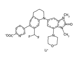 Cn1c(=O)n(C)c2c(N3CCOCC3)cc(N3CCCc4cc(-c5ccc(C(=O)[O-])nc5)c(C(F)F)cc43)cc21.[Li+]